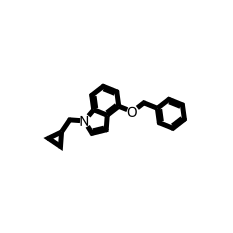 c1ccc(COc2cccc3c2ccn3CC2CC2)cc1